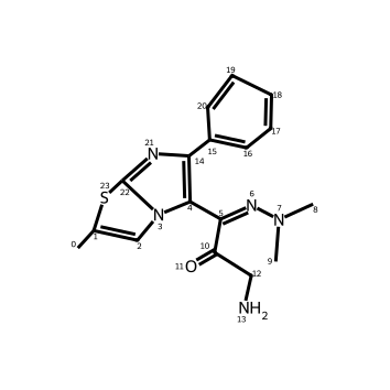 Cc1cn2c(C(=NN(C)C)C(=O)CN)c(-c3ccccc3)nc2s1